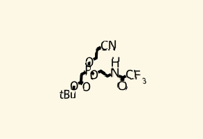 CC(C)(C)OC(=O)CP(OCCC#N)OCCNC(=O)C(F)(F)F